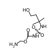 CC(C)(CCO)NS(=O)(=O)NC(=O)OCN